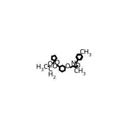 C=C(C)OC(=O)C1(OCC2CCCC(OCc3nc(-c4ccc(C)cc4)oc3C)C2)CCCC1